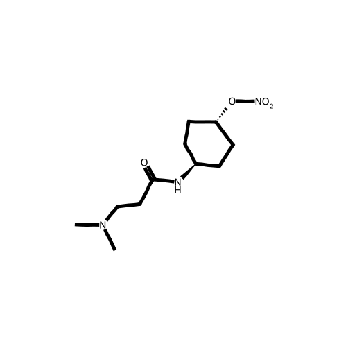 CN(C)CCC(=O)N[C@H]1CC[C@H](O[N+](=O)[O-])CC1